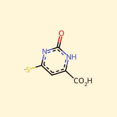 O=C(O)c1cc([S])nc(=O)[nH]1